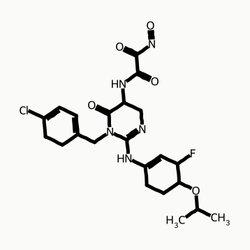 CC(C)OC1CCC(NC2=NCC(NC(=O)C(=O)N=O)C(=O)N2CC2=CC=C(Cl)CC2)=CC1F